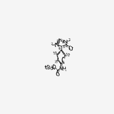 CC(C)N(C)C(C(=O)N(C)C)c1ccc(NC(=O)OC(C)(C)C)cc1